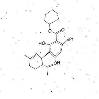 C=C(C)[C@@H]1CCC(C)=C[C@H]1c1c(O)cc(CCC)c(C(=O)OC2CCCCC2)c1O